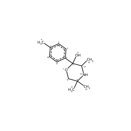 Cc1ccc(C2(O)OCC(C)(C)NC2C)cc1